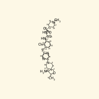 C[C@@H]1OCC2(CCN(c3cnc(Sc4cccc(NC(=O)NS(=O)(=O)C5CCN(C)CC5)c4Cl)cn3)CC2)[C@@H]1N